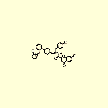 O=C(N[C@@H](C=C1CCC(c2ccccc2CN2CCCC2=O)CC1)Cc1ccc(Cl)cc1)c1cc(=O)c2ccc(Cl)cc2o1